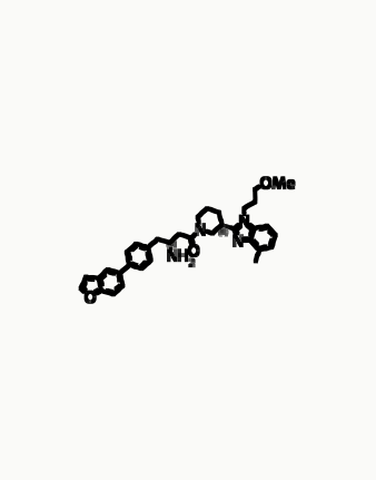 COCCCn1c([C@@H]2CCCN(C(=O)C[C@H](N)Cc3ccc(-c4ccc5occc5c4)cc3)C2)nc2c(C)cccc21